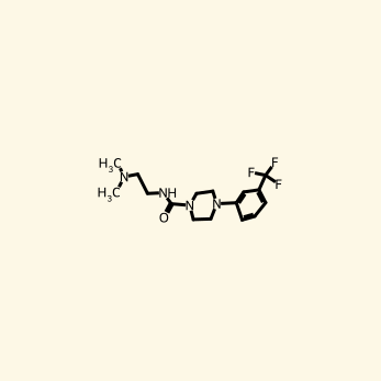 CN(C)CCNC(=O)N1CCN(c2cccc(C(F)(F)F)c2)CC1